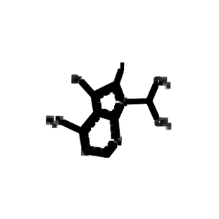 CC(C)n1c(I)c(Br)c2c(N)ncnc21